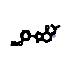 COc1cccc(-c2cc3c(s2)CC/C(=C/N(C)C)C3=O)c1